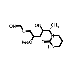 COC(COCN=O)CC(N=O)[C@H](C)N1CCCNC1=O